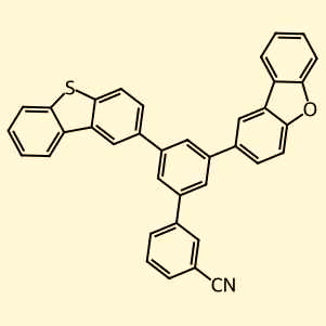 N#Cc1cccc(-c2cc(-c3ccc4oc5ccccc5c4c3)cc(-c3ccc4sc5ccccc5c4c3)c2)c1